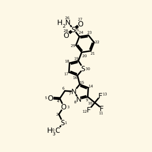 CSCOC(=O)Cn1nc(C(F)(F)F)cc1-c1ccc(-c2cccc(S(N)(=O)=O)c2)s1